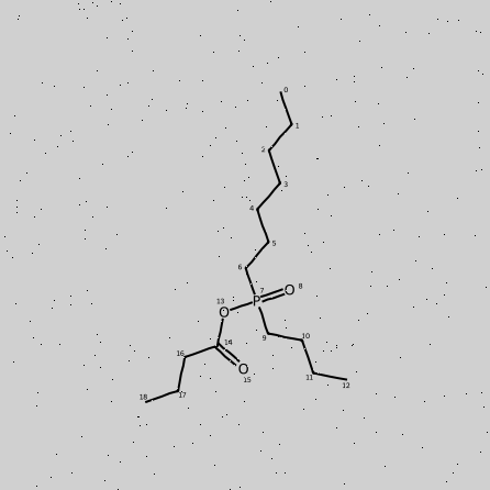 CCCCCCCP(=O)(CCCC)OC(=O)CCC